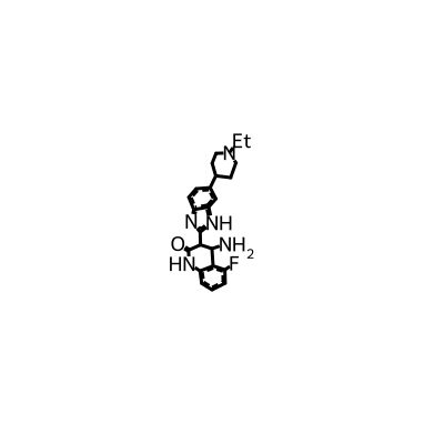 CCN1CCC(c2ccc3nc(C4C(=O)Nc5cccc(F)c5C4N)[nH]c3c2)CC1